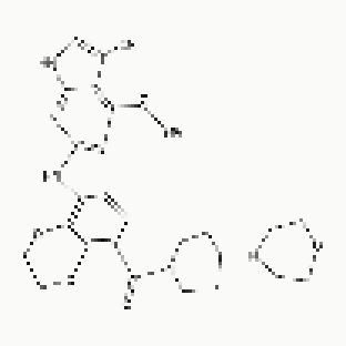 CCCNc1cc(Nc2ccc(C(=O)N3CCC(N4CCOCC4)CC3)c3c2OCCO3)nc2[nH]cc(C#N)c12